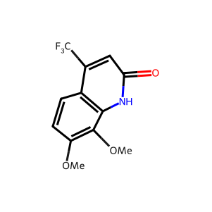 COc1ccc2c(C(F)(F)F)cc(=O)[nH]c2c1OC